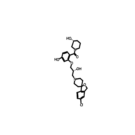 O=C(c1ccc(O)cc1OC[C@H](O)CN1CCC2(CC1)OCc1cc(Cl)ccc12)N1CCC[C@@H](O)C1